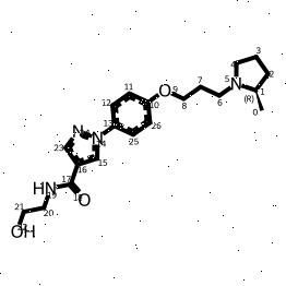 C[C@@H]1CCCN1CCCOc1ccc(-n2cc(C(=O)NCCO)cn2)cc1